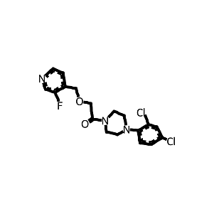 O=C(COCc1ccncc1F)N1CCN(c2ccc(Cl)cc2Cl)CC1